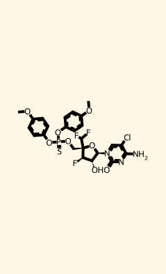 COc1ccc(OP(=S)(OC[C@@]2(C(F)F)O[C@@H](n3cc(Cl)c(N)nc3=O)[C@H](O)[C@H]2F)Oc2ccc(OC)cc2)cc1